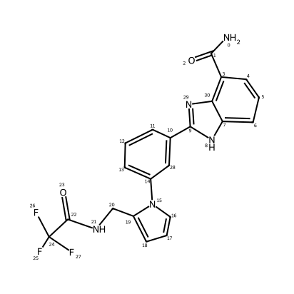 NC(=O)c1cccc2[nH]c(-c3cccc(-n4cccc4CNC(=O)C(F)(F)F)c3)nc12